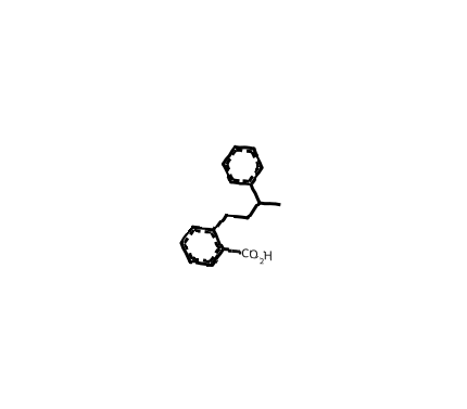 CC(CCc1ccccc1C(=O)O)c1ccccc1